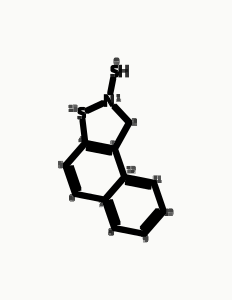 SN1Cc2c(ccc3ccccc23)S1